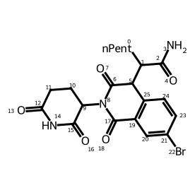 CCCCCC(C(N)=O)C1C(=O)N(C2CCC(=O)NC2=O)C(=O)c2cc(Br)ccc21